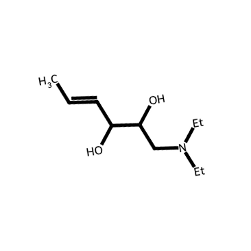 CC=CC(O)C(O)CN(CC)CC